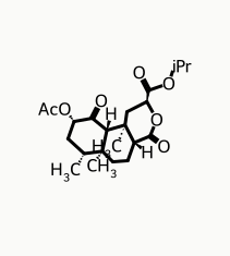 CC(=O)O[C@H]1C[C@@H](C)[C@]2(C)CC[C@H]3C(=O)O[C@H](C(=O)OC(C)C)C[C@]3(C)[C@H]2C1=O